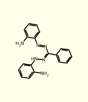 Nc1ccccc1N=NC(=NNc1ccccc1N)c1ccccc1